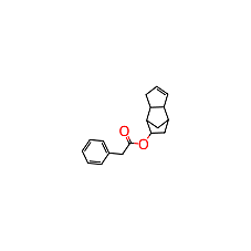 O=C(Cc1ccccc1)OC1CC2CC1C1CC=CC21